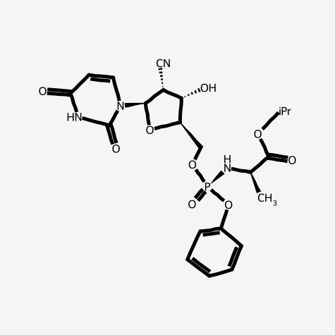 CC(C)OC(=O)[C@@H](C)N[P@@](=O)(OC[C@H]1O[C@@H](n2ccc(=O)[nH]c2=O)[C@H](C#N)[C@@H]1O)Oc1ccccc1